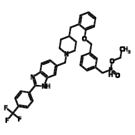 CCO[PH](=O)Cc1cccc(COc2ccccc2CC2CCN(Cc3ccc4nc(-c5ccc(C(F)(F)F)cc5)[nH]c4c3)CC2)c1